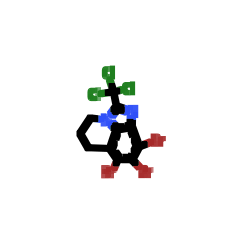 ClC(Cl)(Cl)c1nc2c(Br)c(Br)c(Br)c3c2n1CCC3